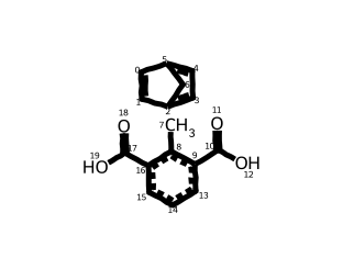 C1=CC2=CC=C1C2.Cc1c(C(=O)O)cccc1C(=O)O